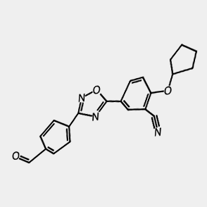 N#Cc1cc(-c2nc(-c3ccc(C=O)cc3)no2)ccc1OC1CCCC1